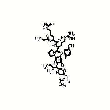 CC[C@H](C)[C@H](NC(=O)[C@H](Cc1ccc(O)cc1)NC(=O)[C@@H]1CCCN1C(=O)[C@H](CCCNC(=N)N)NC(=O)[C@H](CCCNC(=N)N)NC(=O)CN)C(=O)N[C@@H](CC(C)C)C(=O)O